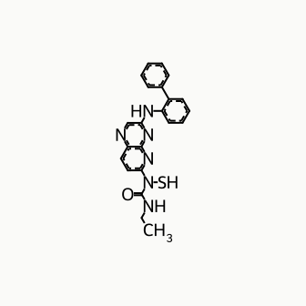 CCNC(=O)N(S)c1ccc2ncc(Nc3ccccc3-c3ccccc3)nc2n1